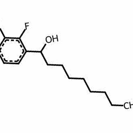 CCCCCCCCC(O)c1cccc(F)c1F